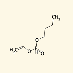 C=CO[PH](=O)OCCCC